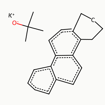 CC(C)(C)[O-].[K+].c1ccc2c(c1)ccc1c3c(ccc12)CCCC3